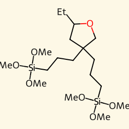 CCC1CC(CCC[Si](OC)(OC)OC)(CCC[Si](OC)(OC)OC)CO1